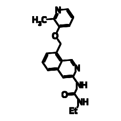 CCNC(=O)Nc1cc2cccc(COc3cccnc3C)c2cn1